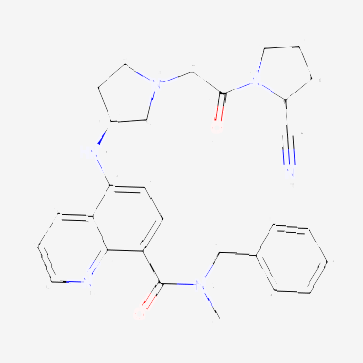 CN(Cc1ccccc1)C(=O)c1ccc(N[C@H]2CCN(CC(=O)N3CCCC3C#N)C2)c2cccnc12